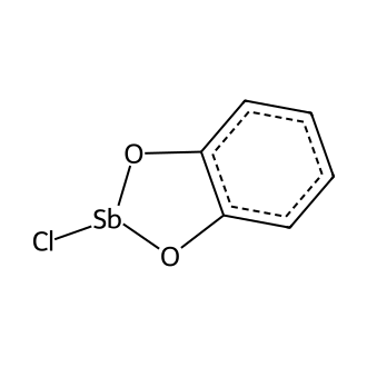 [Cl][Sb]1[O]c2ccccc2[O]1